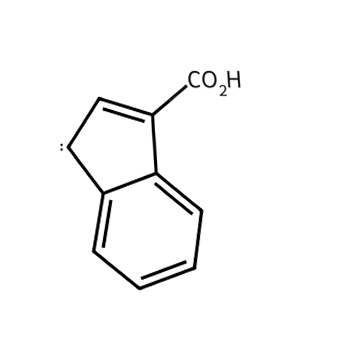 O=C(O)C1=C[C]c2ccccc21